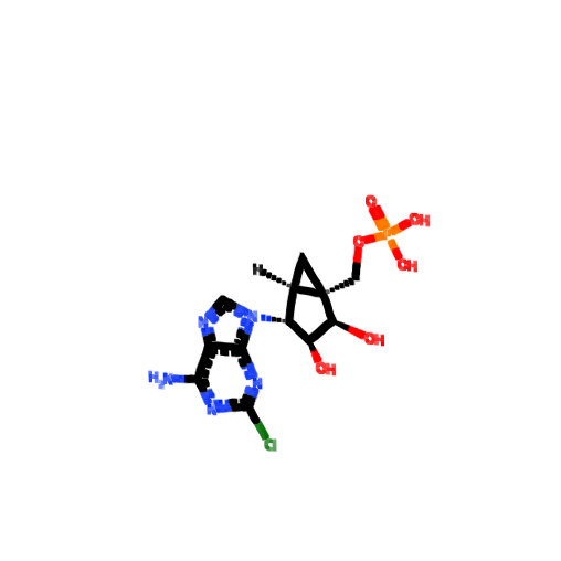 Nc1nc(Cl)nc2c1ncn2[C@H]1[C@H](O)[C@H](O)[C@]2(COP(=O)(O)O)C[C@H]12